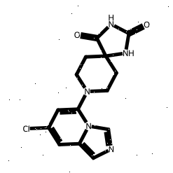 O=C1NC(=O)C2(CCN(c3cc(Cl)cc4cncn34)CC2)N1